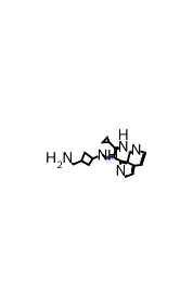 N=C(/C(=C\NC1CC(CN)C1)c1nccc2ccncc12)C1CC1